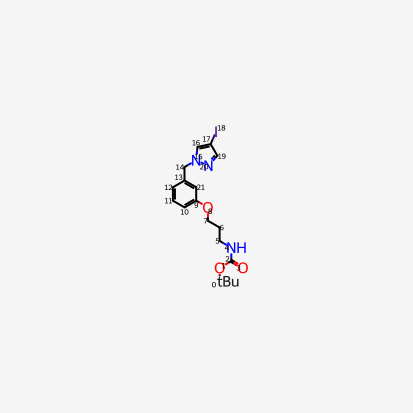 CC(C)(C)OC(=O)NCCCOc1cccc(Cn2cc(I)cn2)c1